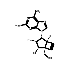 CSc1nc(N)c2ncn([C@H]3[C@H](O)[C@H](O)[C@]4(CO)C#C[C@H]34)c2n1